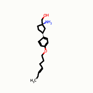 CCC=CCCCOc1ccc([C@@H]2CC[C@](N)(CO)C2)cc1